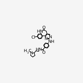 CN1CCCC1CCNC(=O)c1ccc(Nc2ncc3c(n2)-c2ccc(Cl)cc2NC(=O)C3)cc1